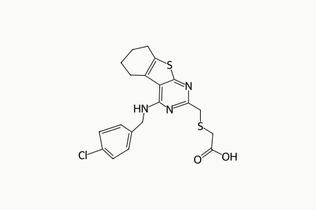 O=C(O)CSCc1nc(NCc2ccc(Cl)cc2)c2c3c(sc2n1)CCCC3